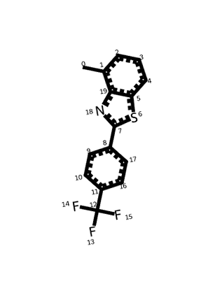 Cc1cccc2sc(-c3ccc(C(F)(F)F)cc3)nc12